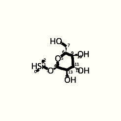 C[SiH](C)O[C@H]1O[C@H](CO)[C@@H](O)[C@H](O)[C@H]1O